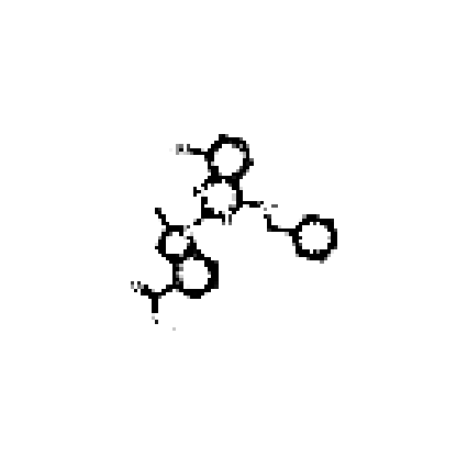 Cc1cc2c(C(N)=O)cccc2n1-c1nc(NCc2ccccc2)c2cccc(O)c2n1